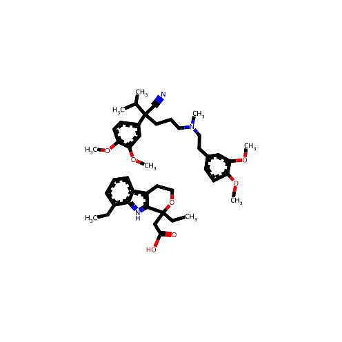 CCc1cccc2c3c([nH]c12)C(CC)(CC(=O)O)OCC3.COc1ccc(CCN(C)CCCC(C#N)(c2ccc(OC)c(OC)c2)C(C)C)cc1OC